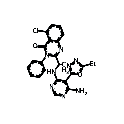 CCc1nnc(-c2c(N)ncnc2N[C@@H](C)c2nc3cccc(Cl)c3c(=O)n2-c2ccccc2)o1